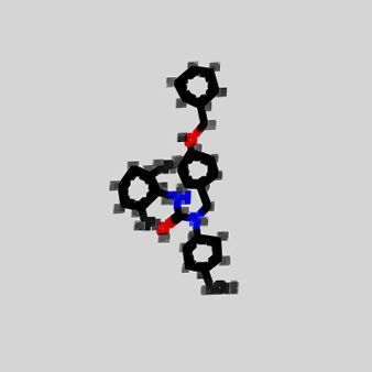 CCCCCCCCc1ccc(N(Cc2ccc(OCc3ccccc3)cc2)C(=O)Nc2c(C(C)C)cccc2C(C)C)cc1